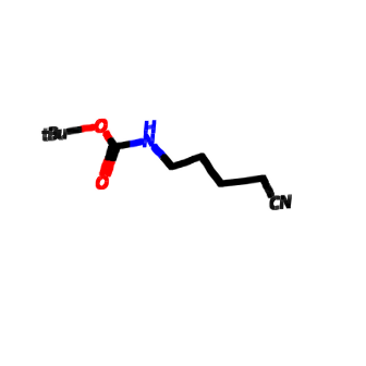 CC(C)(C)OC(=O)NCCCCC#N